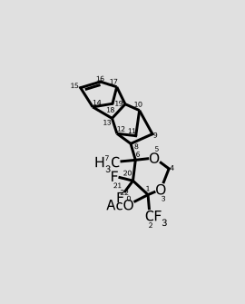 CC(=O)OC1(C(F)(F)F)OCOC(C)(C2CC3CC2C2C4C=CC(C4)C32)C1(F)F